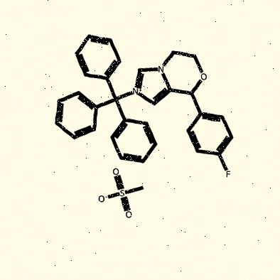 CS(=O)(=O)[O-].Fc1ccc(C2OCCn3c[n+](C(c4ccccc4)(c4ccccc4)c4ccccc4)cc32)cc1